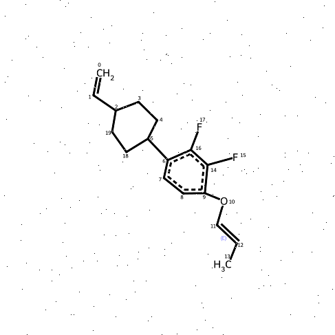 C=CC1CCC(c2ccc(O/C=C/C)c(F)c2F)CC1